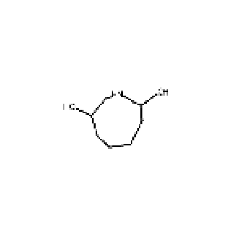 CC1CCCCC(O)CN1